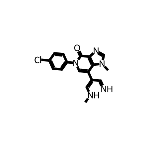 CN/C=C(\C=N)c1cn(-c2ccc(Cl)cc2)c(=O)c2ncn(C)c12